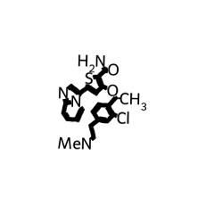 CNCCc1ccc([C@@H](C)Oc2cc(-c3cnc4ccccn34)sc2C(N)=O)c(Cl)c1